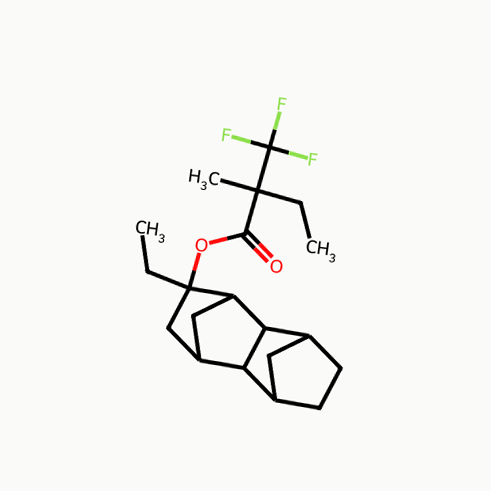 CCC1(OC(=O)C(C)(CC)C(F)(F)F)CC2CC1C1C3CCC(C3)C21